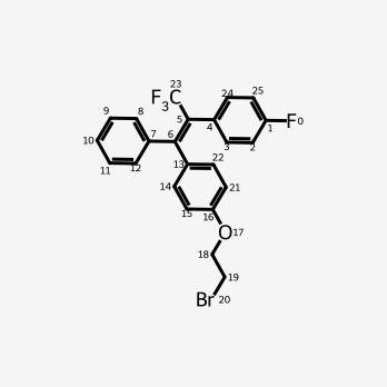 Fc1ccc(C(=C(c2ccccc2)c2ccc(OCCBr)cc2)C(F)(F)F)cc1